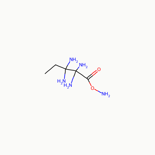 CCC(N)(N)C(N)(N)C(=O)ON